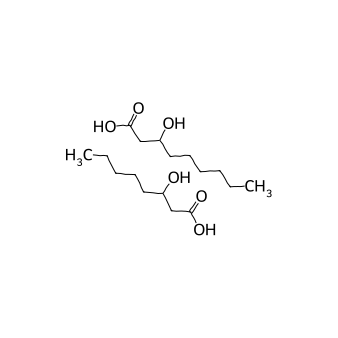 CCCCCC(O)CC(=O)O.CCCCCCC(O)CC(=O)O